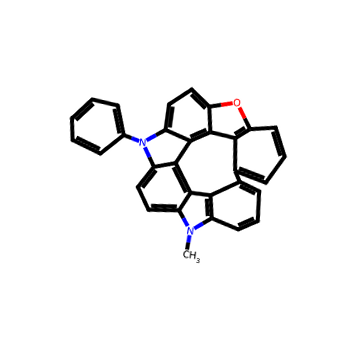 Cn1c2cccc3c4cccc5oc6ccc7c(c6c54)c4c(c32)c1ccc4n7-c1ccccc1